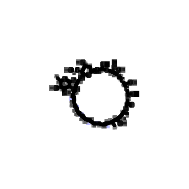 C[C@@H]1OC(=O)C[C@H](O)C[C@H](O)CC[C@@H](O)[C@H](O)C[C@H](O)C[C@]2(O)C[C@H](O)[C@@H](C(=O)O)[C@H](C[C@@H](O[C@@H]3O[C@H](C)[C@@H](O)[C@H](N)[C@@H]3O)/C=C/C=C/C=C/C=C/C=C/C=C/C=C/[C@H](C)C(O)[C@H]1C)O2